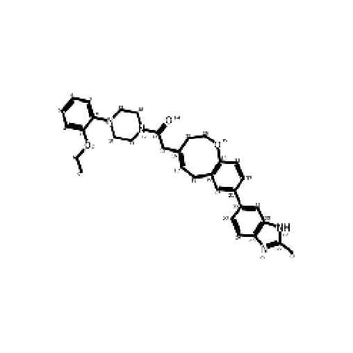 CCOc1ccccc1N1CCN(C(=O)C/C2=C/Cc3cc(-c4ccc5nc(C)[nH]c5c4)ccc3OCC2)CC1